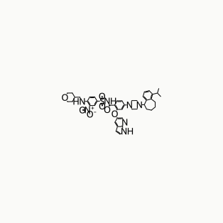 CC(C)c1cccc2c1CCCCC2N1CCN(c2ccc(C(=O)NS(=O)(=O)c3ccc(NCC4CCOCC4)c([N+](=O)[O-])c3)c(Oc3cnc4[nH]ccc4c3)c2)CC1